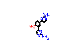 Nc1nccc(-c2ccc(O)c(-c3ccnc(N)n3)c2)n1